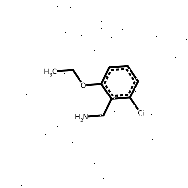 CCOc1cccc(Cl)c1CN